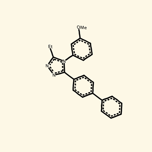 CCc1nnc(-c2ccc(-c3ccccc3)cc2)n1-c1cccc(OC)c1